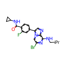 CC(C)CNc1nc(Br)cn2c(-c3ccc(C(=O)NC4CC4)c(F)c3)cnc12